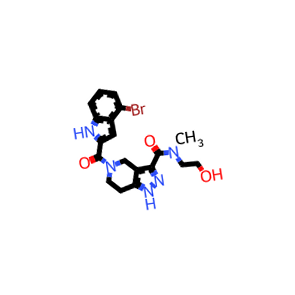 CN(CCO)C(=O)c1n[nH]c2c1CN(C(=O)c1cc3c(Br)cccc3[nH]1)CC2